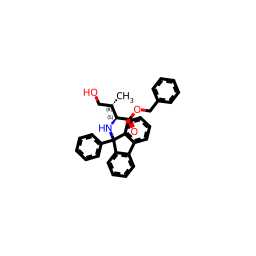 C[C@@H](CO)[C@H](NC1(c2ccccc2)c2ccccc2-c2ccccc21)C(=O)OCc1ccccc1